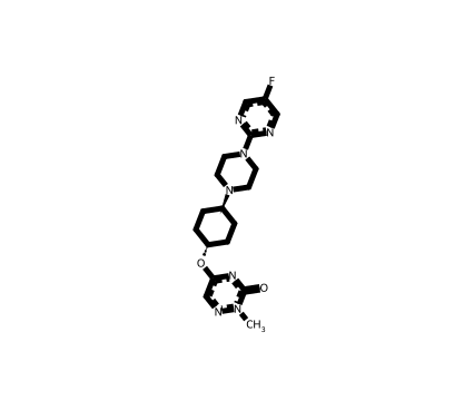 Cn1ncc(O[C@H]2CC[C@H](N3CCN(c4ncc(F)cn4)CC3)CC2)nc1=O